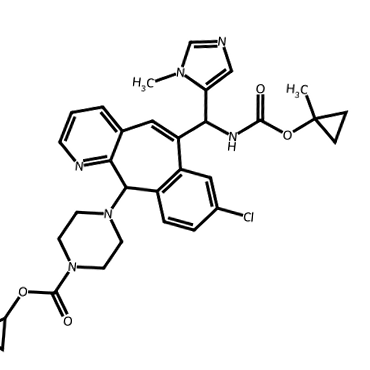 Cn1cncc1C(NC(=O)OC1(C)CC1)C1=Cc2cccnc2C(N2CCN(C(=O)OC3CC3)CC2)c2ccc(Cl)cc21